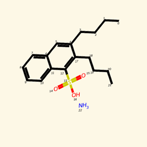 CCCCc1cc2ccccc2c(S(=O)(=O)O)c1CCCC.N